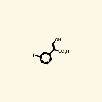 O=C(O)C(=CO)c1cccc(F)c1